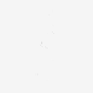 CCC(CC)Oc1ccc(N2N=C(C)C(C(=O)Nc3cccc(C(C)(F)F)c3)C2=O)cc1